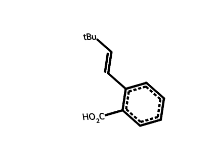 CC(C)(C)C=Cc1ccccc1C(=O)O